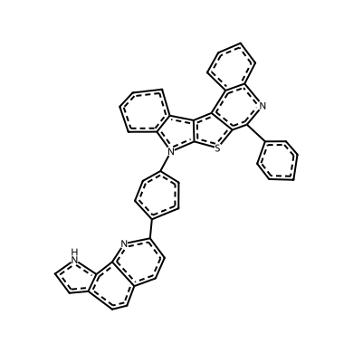 c1ccc(-c2nc3ccccc3c3c2sc2c3c3ccccc3n2-c2ccc(-c3ccc4ccc5cc[nH]c5c4n3)cc2)cc1